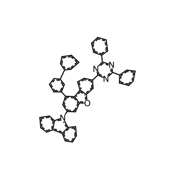 c1ccc(-c2cccc(-c3cc(-n4c5ccccc5c5ccccc54)cc4oc5cc(-c6nc(-c7ccccc7)nc(-c7ccccc7)n6)ccc5c34)c2)cc1